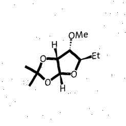 CC[C@H]1O[C@@H]2OC(C)(C)O[C@@H]2[C@@H]1OC